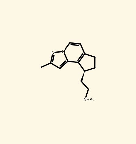 CC(=O)NCC[C@@H]1CCc2ccn3nc(C)cc3c21